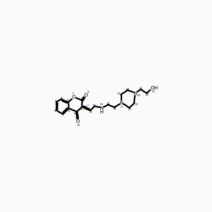 O=C1Oc2ccccc2C(=O)/C1=C/CNCCN1CCN(CCO)CC1